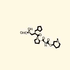 CN1CCCC(OC(=O)NC(=O)[C@@H]2CCCN2C(=O)[C@H](CC2CCCC2)CN(O)C=O)C1